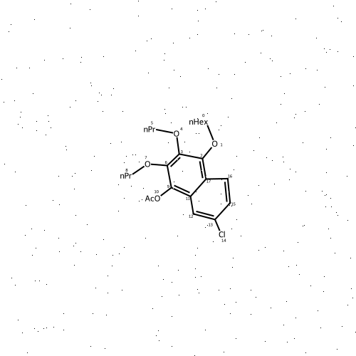 CCCCCCOc1c(OCCC)c(OCCC)c(OC(C)=O)c2cc(Cl)ccc12